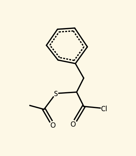 CC(=O)SC(Cc1ccccc1)C(=O)Cl